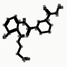 COCCCNc1c(Cl)cccc1NC(=O)[C@@H]1CCCN(C(=O)OC(C)(C)C)C1